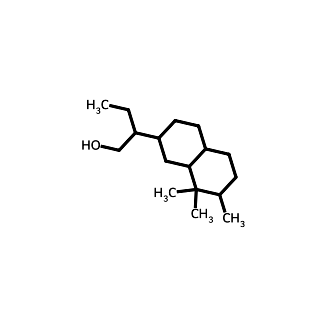 CCC(CO)C1CCC2CCC(C)C(C)(C)C2C1